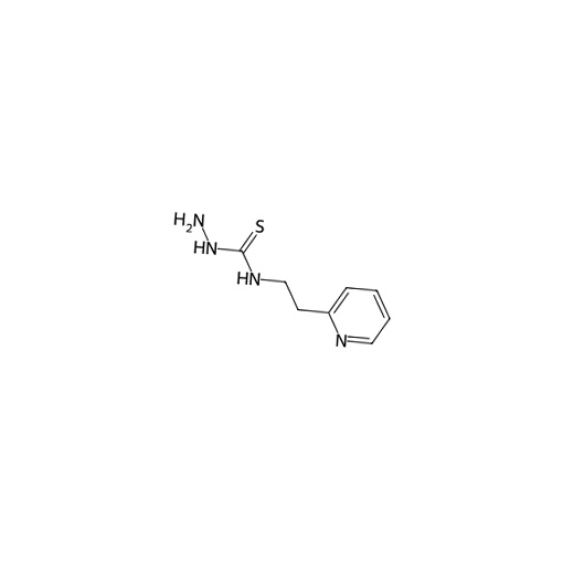 NNC(=S)NCCc1ccccn1